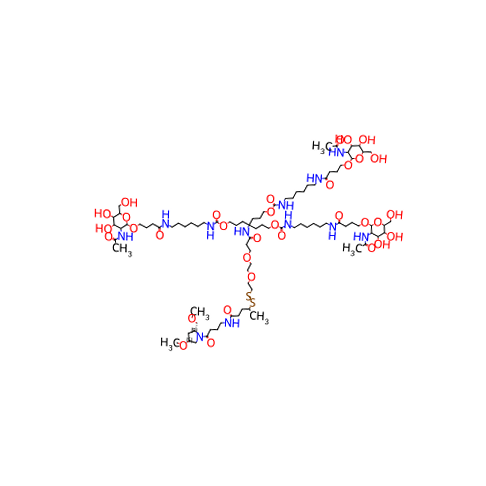 COC[C@H]1C[C@H](OC)CN1C(=O)CCCNC(=O)CCC(C)SSCCOCCOCCC(=O)NC(CCCOC(=O)NCCCCCCNC(=O)CCCOC1OC(CO)C(O)C(O)C1NC(C)=O)(CCCOC(=O)NCCCCCCNC(=O)CCCOC1OC(CO)C(O)C(O)C1NC(C)=O)CCCOC(=O)NCCCCCCNC(=O)CCCOC1OC(CO)C(O)C(O)C1NC(C)=O